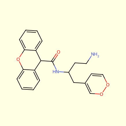 NCCC(CC1=COOC=C1)NC(=O)C1c2ccccc2Oc2ccccc21